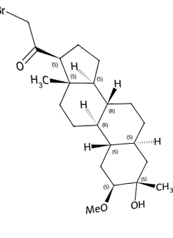 CO[C@H]1C[C@H]2[C@@H](CC[C@@H]3[C@@H]2CC[C@]2(C)[C@@H](C(=O)CBr)CC[C@@H]32)C[C@]1(C)O